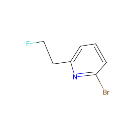 FCCc1cccc(Br)n1